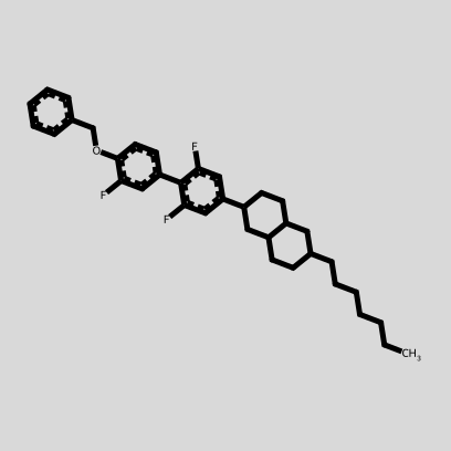 CCCCCCCC1CCC2CC(c3cc(F)c(-c4ccc(OCc5ccccc5)c(F)c4)c(F)c3)CCC2C1